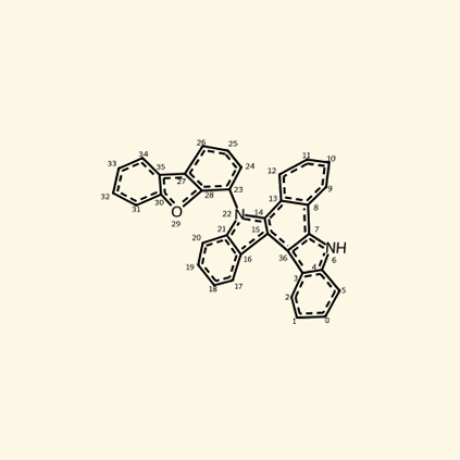 c1ccc2c(c1)[nH]c1c3ccccc3c3c(c4ccccc4n3-c3cccc4c3oc3ccccc34)c21